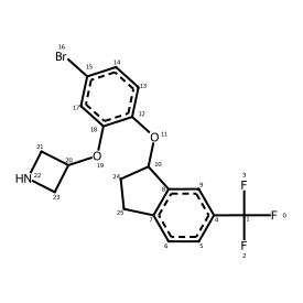 FC(F)(F)c1ccc2c(c1)C(Oc1ccc(Br)cc1OC1CNC1)CC2